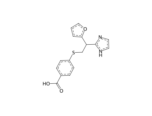 O=C(O)c1ccc(SCC(c2ncc[nH]2)c2ccco2)cc1